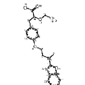 CN(CCOc1ccc(CC(OCC(F)(F)F)C(=O)Cl)cc1)c1nc2ccccc2o1